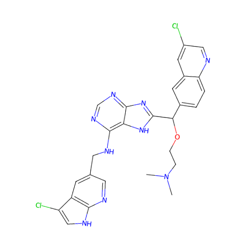 CN(C)CCOC(c1ccc2ncc(Cl)cc2c1)c1nc2ncnc(NCc3cnc4[nH]cc(Cl)c4c3)c2[nH]1